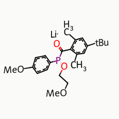 COCCOP(C(=O)c1c(C)cc(C(C)(C)C)cc1C)c1ccc(OC)cc1.[Li]